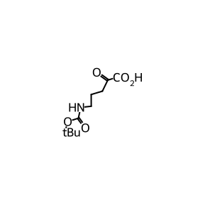 CC(C)(C)OC(=O)NCCCC(=O)C(=O)O